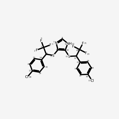 FC(F)(F)C(Sc1nc[nH]c1SC(c1ccc(Cl)cc1)C(F)(F)F)c1ccc(Cl)cc1